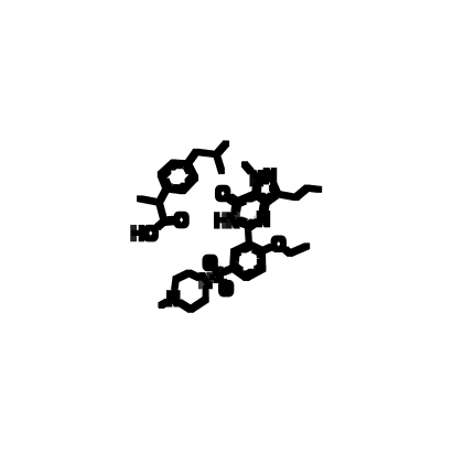 CC(C)Cc1ccc(C(C)C(=O)O)cc1.CCCc1nn(C)c2c(=O)[nH]c(-c3cc(S(=O)(=O)N4CCN(C)CC4)ccc3OCC)nc12